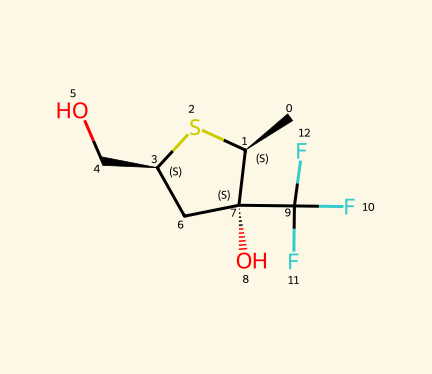 C[C@@H]1S[C@H](CO)C[C@]1(O)C(F)(F)F